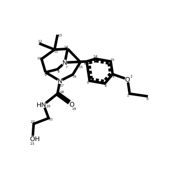 CCOc1ccc(N2CC3CC(C)(C)C2CCN3C(=O)NCCO)cc1